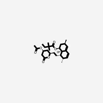 CCC(C)(C)C(=O)O[C@H]1C[C@@H](C)C=C2C=C[C@H](C)[C@H](CC[C@@H]3C[C@@H](OC(C)=O)CC(=O)O3)[C@H]21